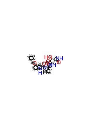 O=C(CO)C(C[C@@H]1CCNC1=O)NC(=O)[C@@H]1[C@H]2CCC[C@H]2CN1C(=O)c1cc2c(OCc3ccccc3)cccc2[nH]1